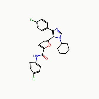 O=C(Nc1ccc(Cl)cc1)c1ccc(-c2c(-c3ccc(F)cc3)ncn2C2CCCCC2)o1